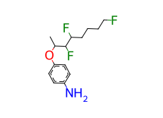 CC(Oc1ccc(N)cc1)C(F)C(F)CCCCF